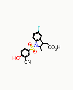 CC1C(CC(=O)O)c2cc(F)ccc2N1S(=O)(=O)c1ccc(O)c(C#N)c1